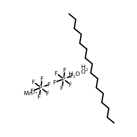 CCCCCCCCCCCCCCCC.F[P-](F)(F)(F)(F)F.F[P-](F)(F)(F)(F)F.O.O.[Mn+2]